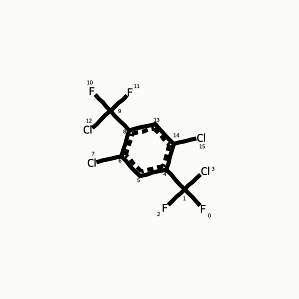 FC(F)(Cl)c1cc(Cl)c(C(F)(F)Cl)cc1Cl